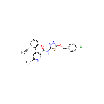 C#Cc1ccccc1-c1cc(C)ncc1C(=O)Nc1nnc(OCc2ccc(Cl)cc2)s1